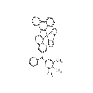 Cc1cc(N(c2ccccc2)c2ccc3c4c(ccc3c2)-c2c(c3ccccc3c3ccccc23)C42c3ccccc3-c3ccccc32)cc(C)c1C